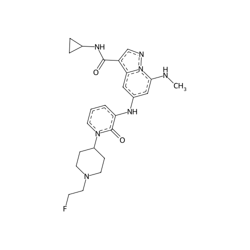 CNc1cc(Nc2cccn(C3CCN(CCF)CC3)c2=O)cc2c(C(=O)NC3CC3)cnn12